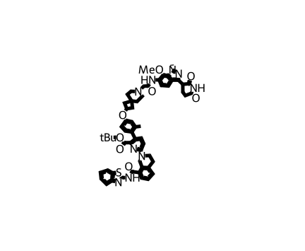 COc1c(NC(=O)CN2CCC3(CC2)CC(Oc2ccc(-c4ccc(N5CCc6cccc(C(=O)Nc7nc8ccccc8s7)c6C5)nc4C(=O)OC(C)(C)C)c(C)c2)C3)ccc2c(C3CCC(=O)NC3=O)nn(C)c12